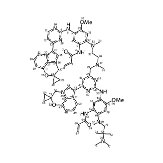 C=CC(=O)Nc1cc(Nc2nccc(-c3cn4c5c(cccc35)OC3(CC3)C4)n2)c(OC)cc1N(C)CCN(C)Cc1cc(-c2cn3c4c(cccc24)OC2(CC2)C3)nc(Nc2cc(NC(=O)C=C)c(N(C)CC(C)(C)N(C)C)cc2OC)n1